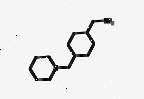 NCC1CCC(CN2CCCCC2)CC1